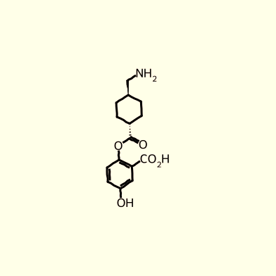 NC[C@H]1CC[C@H](C(=O)Oc2ccc(O)cc2C(=O)O)CC1